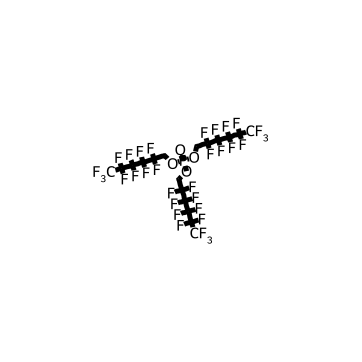 O=P(OCC(F)(F)C(F)(F)C(F)(F)C(F)(F)C(F)(F)F)(OCC(F)(F)C(F)(F)C(F)(F)C(F)(F)C(F)(F)F)OCC(F)(F)C(F)(F)C(F)(F)C(F)(F)C(F)(F)F